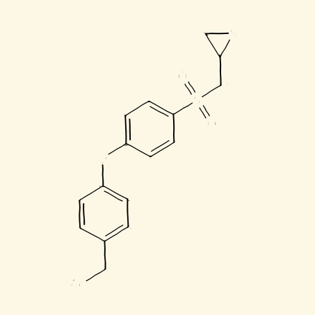 CC(=O)Cc1ccc(Oc2ccc(S(=O)(=O)CC3CS3)cc2)cc1